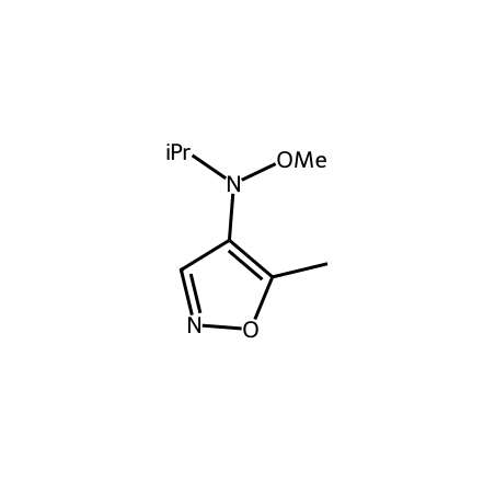 CON(c1cnoc1C)C(C)C